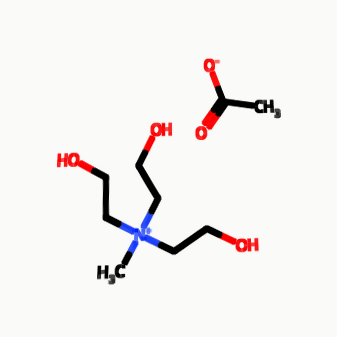 CC(=O)[O-].C[N+](CCO)(CCO)CCO